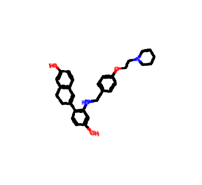 Oc1ccc2c(c1)CCC(c1ccc(O)cc1NCc1ccc(OCCN3CCCCC3)cc1)=C2